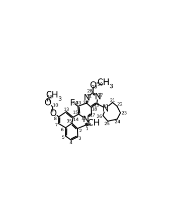 C#Cc1cccc2cc(OCOC)cc(-c3ncc4c(N5CCCCCC5)nc(OC)nc4c3F)c12